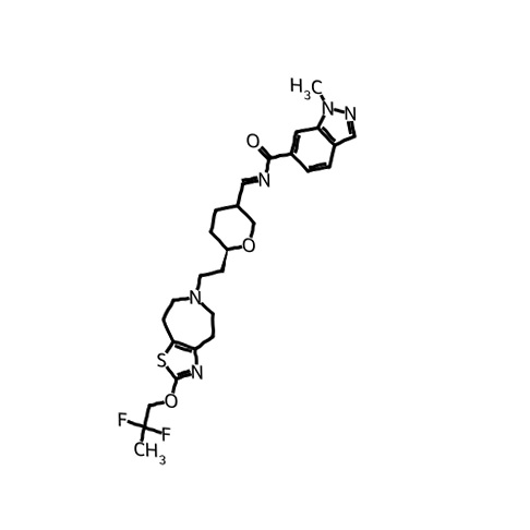 Cn1ncc2ccc(C(=O)/N=C/C3CC[C@H](CCN4CCc5nc(OCC(C)(F)F)sc5CC4)OC3)cc21